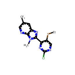 CCSc1cnc(Cl)nc1-c1nc2cc(C(F)(F)F)cnc2n1C